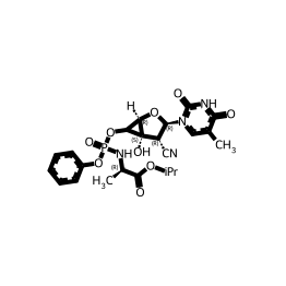 Cc1cn([C@@H]2O[C@@H]3C(OP(=O)(N[C@H](C)C(=O)OC(C)C)Oc4ccccc4)[C@]3(O)[C@H]2C#N)c(=O)[nH]c1=O